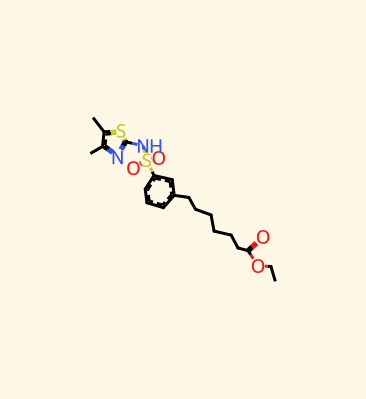 CCOC(=O)CCCCCCc1cccc(S(=O)(=O)Nc2nc(C)c(C)s2)c1